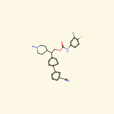 CN1CCC(C(COC(=O)Nc2ccc(F)c(Cl)c2)c2ccc(-c3cccc(C#N)c3)cc2)CC1